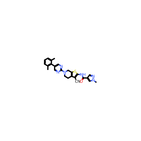 Cc1cccc(C)c1-c1cnc(N2CCc3c(sc(NC(=O)c4cnn(C)c4)c3C#N)C2)nc1